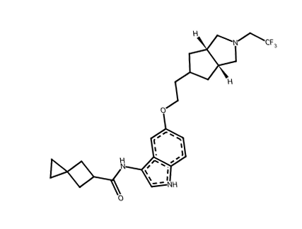 O=C(Nc1c[nH]c2ccc(OCCC3C[C@@H]4CN(CC(F)(F)F)C[C@@H]4C3)cc12)C1CC2(CC2)C1